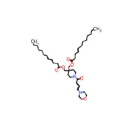 CCCCCCCCCCCC(=O)OCC1(COC(=O)CCCCCCCCCCC)CCN(C(=O)CCCN2CCOCC2)CC1